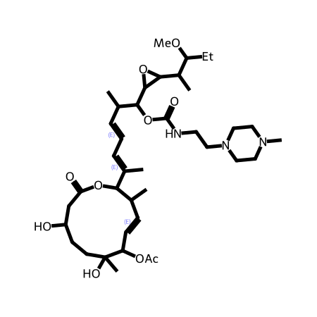 CCC(OC)C(C)C1OC1C(OC(=O)NCCN1CCN(C)CC1)C(C)/C=C/C=C(\C)C1OC(=O)CC(O)CCC(C)(O)C(OC(C)=O)/C=C/C1C